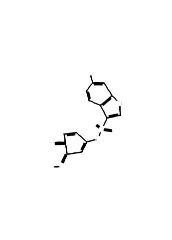 N=C1C=CC(NS(=O)(=O)c2c[nH]c3cc(Br)ccc23)=C/C1=N/S